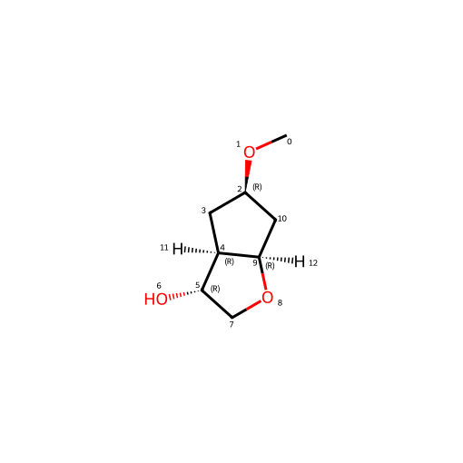 CO[C@@H]1C[C@@H]2[C@@H](O)CO[C@@H]2C1